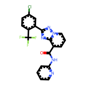 O=C(Nc1ccccn1)c1cccn2nc(-c3cc(Cl)ccc3C(F)(F)F)nc12